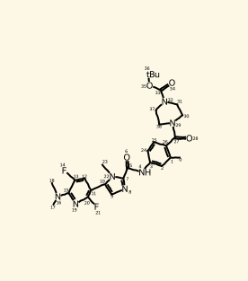 Cc1cc(NC(=O)c2ncc(-c3cc(F)c(N(C)C)nc3F)n2C)ccc1C(=O)N1CCN(C(=O)OC(C)(C)C)CC1